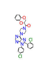 O=C(C1COc2ccccc2O1)N1CCN(c2ncnc3c2nc(-c2ccccc2Cl)n3-c2ccc(Cl)cc2)CC1